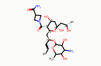 CC(C)/C=C/[C@@H](C[C@@H]1O[C@](O)(C[C@@H](O)C(C)C)C[C@H](O)[C@H]1C(=O)N1CC(C(N)=O)C1)OC1OC(C)C(O)C(N)C1O